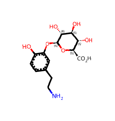 NCCc1ccc(O)c(O[C@@H]2O[C@H](C(=O)O)[C@@H](O)[C@H](O)[C@H]2O)c1